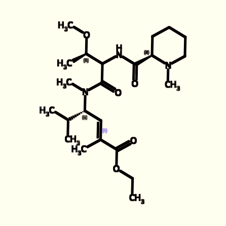 CCOC(=O)/C(C)=C/[C@H](C(C)C)N(C)C(=O)C(NC(=O)[C@H]1CCCCN1C)[C@@H](C)OC